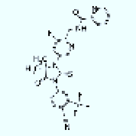 CC1(C)C(=O)N(c2ccc(C#N)c(C(F)(F)F)c2)C(=S)N1c1cnc(CNC(=O)c2ccccn2)c(F)c1